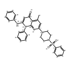 Cc1cc(N2CCN(S(=O)(=O)c3ccccc3)CC2)nc2c1c(=O)cc(Nc1ccccc1)n2-c1ccccc1